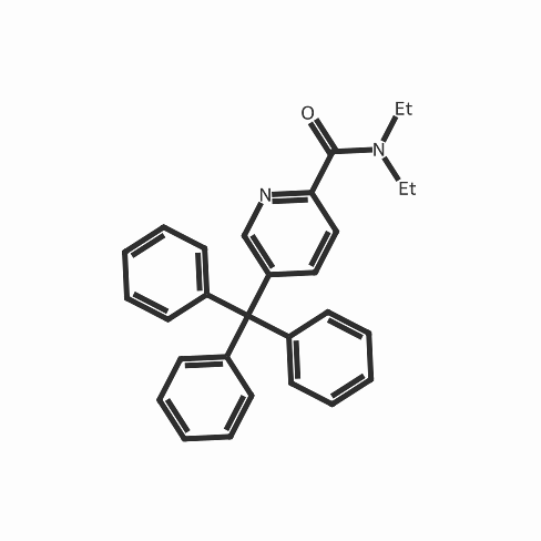 CCN(CC)C(=O)c1ccc(C(c2ccccc2)(c2ccccc2)c2ccccc2)cn1